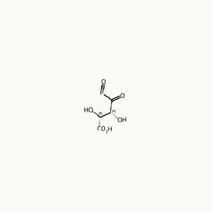 O=PC(=O)[C@H](O)[C@@H](O)C(=O)O